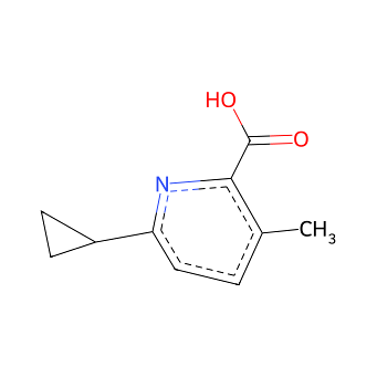 Cc1ccc(C2CC2)nc1C(=O)O